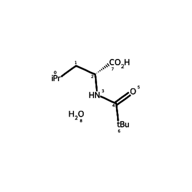 CC(C)C[C@@H](NC(=O)C(C)(C)C)C(=O)O.O